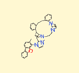 Cc1ccc2c(oc3ccccc32)c1N1C=CN(C)C1CC1C2C=CN1CCCN1C=CN(c3ccccc3CCc3ccccc32)C1C